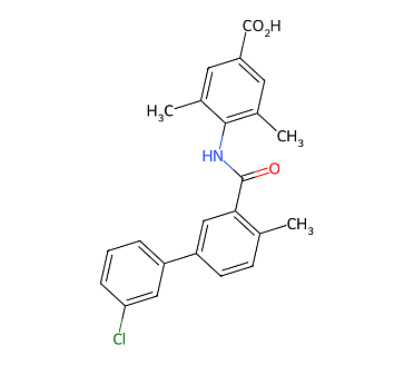 Cc1ccc(-c2cccc(Cl)c2)cc1C(=O)Nc1c(C)cc(C(=O)O)cc1C